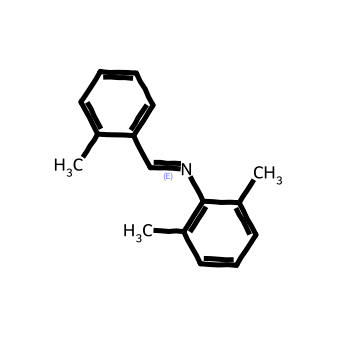 Cc1ccccc1/C=N/c1c(C)cccc1C